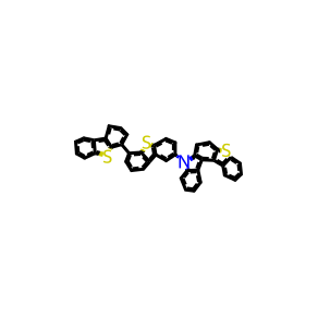 c1ccc2c(c1)sc1c(-c3cccc4c3sc3ccc(-n5c6ccccc6c6c7c(ccc65)sc5ccccc57)cc34)cccc12